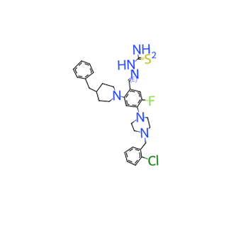 NC(=S)N/N=C/c1cc(F)c(N2CCN(Cc3ccccc3Cl)CC2)cc1N1CCC(Cc2ccccc2)CC1